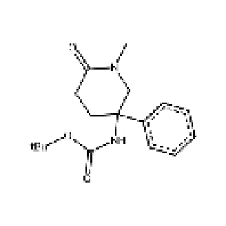 CN1CC(NC(=O)OC(C)(C)C)(c2ccccc2)CCC1=O